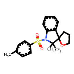 Cc1ccc(S(=O)(=O)N2c3ccccc3C3(CCCO3)C2(C)C(F)(F)F)cc1